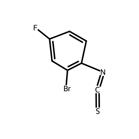 Fc1ccc(N=C=S)c(Br)c1